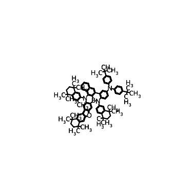 Cc1cc2c(cc1N1c3cc4c(cc3B3c5c(cc6ccccc6c51)-c1cc(N(c5ccc(C(C)(C)C)cc5)c5ccc(C(C)(C)C)cc5)ccc1N3c1ccc3c(c1)C(C)(C)CCC3(C)C)oc1cc3c(cc14)C(C)(C)CCC3(C)C)C(C)(C)CCC2(C)C